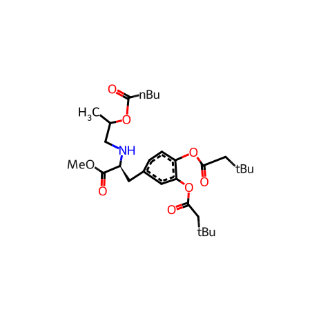 CCCCC(=O)OC(C)CN[C@@H](Cc1ccc(OC(=O)CC(C)(C)C)c(OC(=O)CC(C)(C)C)c1)C(=O)OC